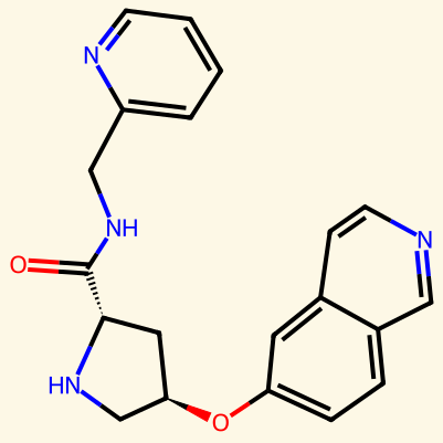 O=C(NCc1ccccn1)[C@@H]1C[C@@H](Oc2ccc3cnccc3c2)CN1